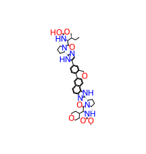 CC[C@H](C)[C@H](NC(=O)O)C(=O)N1[C@@H](C)CC[C@H]1c1ncc(-c2ccc3c(c2)COc2cc4c(ccc5nc([C@@H]6CC[C@H](C)N6C(=O)[C@@H](NC(=O)OC)C6CCOCC6)[nH]c54)cc2-3)[nH]1